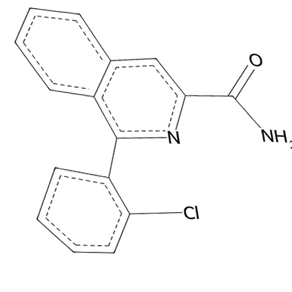 NC(=O)c1cc2ccccc2c(-c2ccccc2Cl)n1